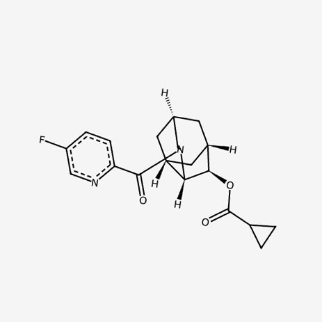 O=C(O[C@@H]1[C@H]2C[C@@H]3C[C@H](C2)[C@@H]1N(C(=O)c1ccc(F)cn1)C3)C1CC1